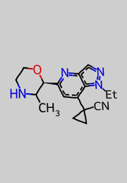 CCn1ncc2nc([C@@H]3OCCNC3C)cc(C3(C#N)CC3)c21